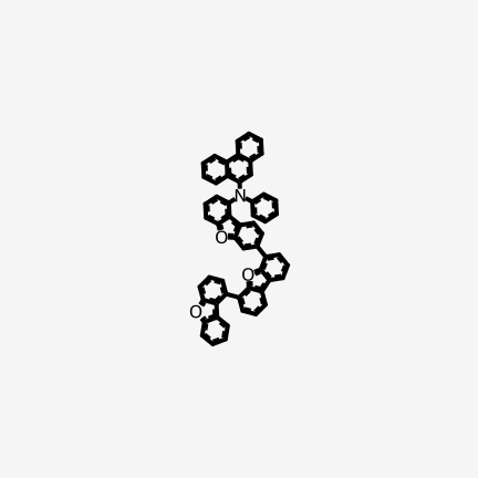 c1ccc(N(c2cc3ccccc3c3ccccc23)c2cccc3oc4cc(-c5cccc6c5oc5c(-c7cccc8oc9ccccc9c78)cccc56)ccc4c23)cc1